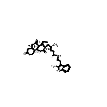 Cc1[nH]c2ccccc2c1CCNC(=O)CC[C@@H](C)[C@H]1CC[C@H]2[C@@H]3C(=O)C[C@@H]4CC(=O)CC[C@]4(C)[C@H]3CC(=O)[C@]12C